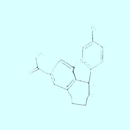 COC(=O)c1ccc2c(c1)CCC[C@]2(O)c1ccc(Br)cn1